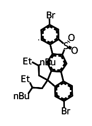 CCCCC(CC)CC1(CC(CC)CCCC)c2cc(Br)ccc2-c2cc3c(cc21)-c1[c]cc(Br)cc1S3(=O)=O